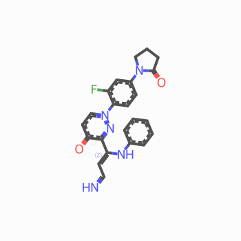 N=C/C=C(\Nc1ccccc1)c1nn(-c2ccc(N3CCCC3=O)cc2F)ccc1=O